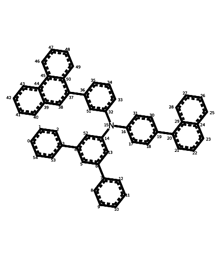 c1ccc(-c2cc(-c3ccccc3)cc(N(c3ccc(-c4cccc5ccccc45)cc3)c3cccc(-c4cc5ccccc5c5ccccc45)c3)c2)cc1